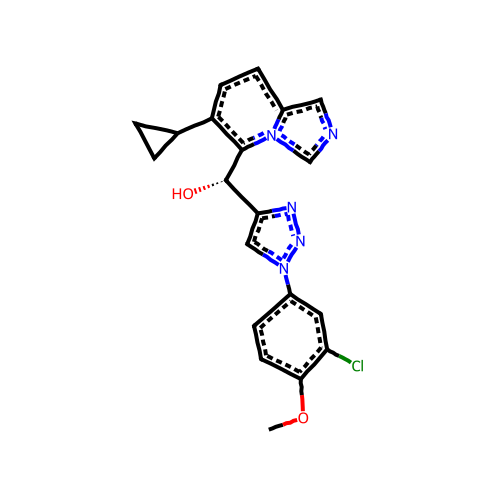 COc1ccc(-n2cc([C@H](O)c3c(C4CC4)ccc4cncn34)nn2)cc1Cl